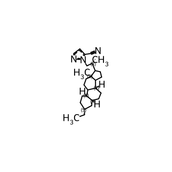 CC[C@H]1CC[C@@H]2C3CC[C@@]4(C)C(CCC4[C@@H](C)Cn4nccc4C#N)[C@@H]3CC[C@@H]2C1